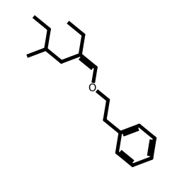 CCC(=COCCc1ccccc1)CC(C)CC